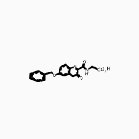 O=C(O)CNC(=O)C1=Nc2ccc(OCc3ccccc3)cc2CC1=O